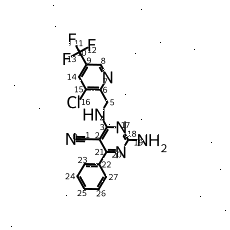 N#Cc1c(NCc2ncc(C(F)(F)F)cc2Cl)nc(N)nc1-c1ccccc1